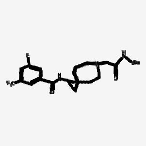 CC(C)(C)NC(=O)CN1CCC2(CC1)CC2NC(=O)c1cc(F)cc(C(F)(F)F)c1